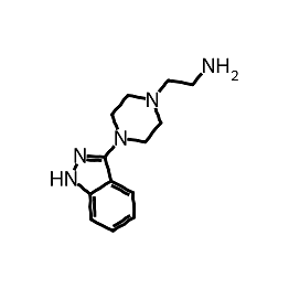 NCCN1CCN(c2n[nH]c3ccccc23)CC1